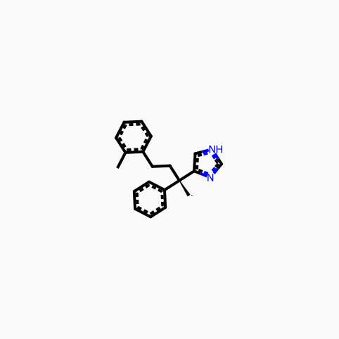 [CH2][C@](CCc1ccccc1C)(c1ccccc1)c1c[nH]cn1